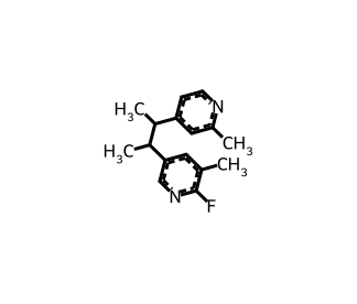 Cc1cc(C(C)C(C)c2cnc(F)c(C)c2)ccn1